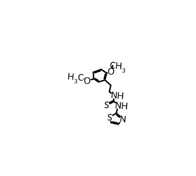 COc1ccc(OC)c(CCNC(=S)Nc2nccs2)c1